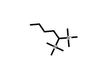 CCCCC([N+](C)(C)C)[N+](C)(C)C